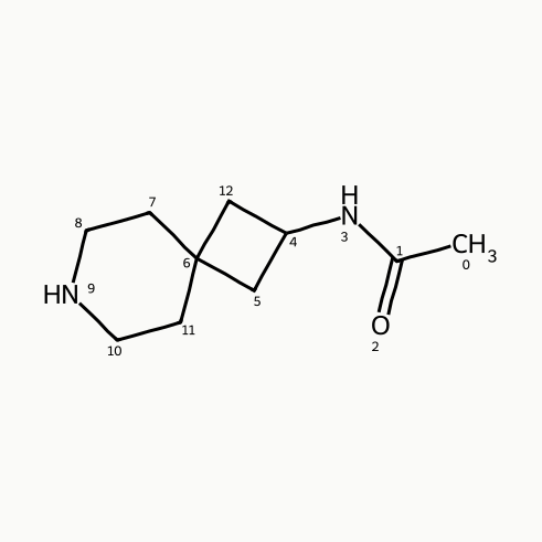 CC(=O)NC1CC2(CCNCC2)C1